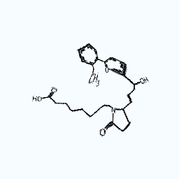 Cc1ccccc1-c1ccc(C(O)CCC2CCC(=O)N2CCCCCCC(=O)O)o1